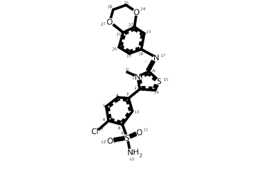 Cn1c(-c2ccc(Cl)c(S(N)(=O)=O)c2)cs/c1=N/c1ccc2c(c1)OCCO2